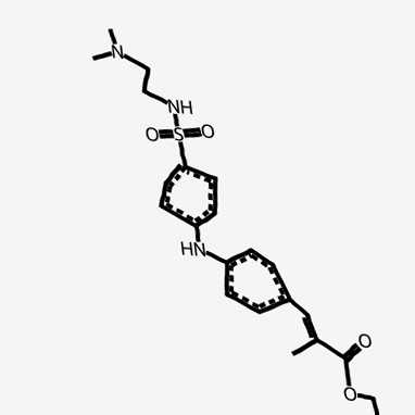 CCOC(=O)/C(C)=C/c1ccc(Nc2ccc(S(=O)(=O)NCCN(C)C)cc2)cc1